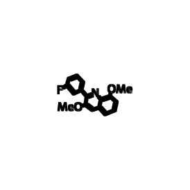 COc1cc2cccc(OC)c2nc1-c1cccc(F)c1